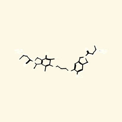 COc1cc2c(cc1OCCCOc1c(C)c3c(c(Cl)c1OC)CN(C(=O)C[C@H](C)C(=O)O)C3C)CN(C(=O)C[C@H](C)C(=O)O)C2